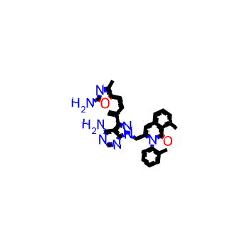 C=C(/C=C\c1oc(N)nc1C)c1nn(Cc2cc3cccc(C)c3c(=O)n2-c2ccccc2C)c2ncnc(N)c12